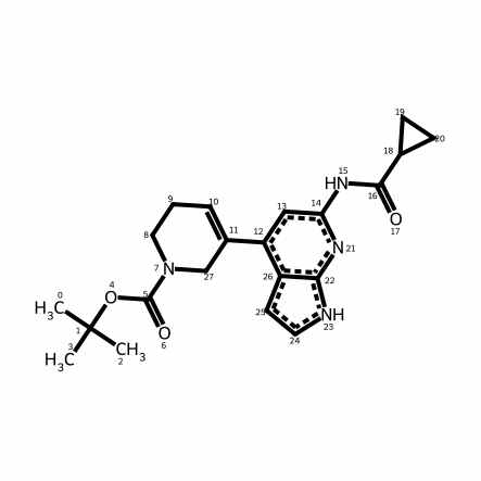 CC(C)(C)OC(=O)N1CCC=C(c2cc(NC(=O)C3CC3)nc3[nH]ccc23)C1